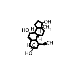 C#CC1C[C@@H](O)CC2=C[C@H](O)[C@H]3[C@@H]4CC[C@H](O)[C@@]4(C)CC[C@@H]3[C@]21C